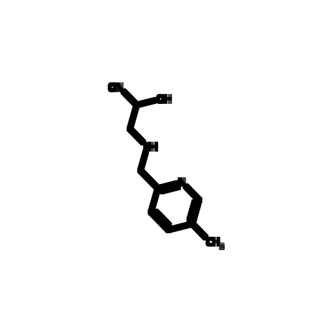 Cc1ccc(CNCC(O)N=O)nc1